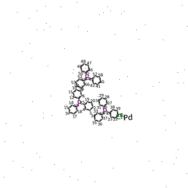 [Cl][Pd].c1ccc(P(c2ccccc2)c2ccccc2)cc1.c1ccc(P(c2ccccc2)c2ccccc2)cc1.c1ccc(P(c2ccccc2)c2ccccc2)cc1